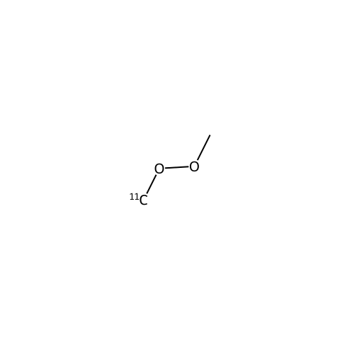 COO[11CH3]